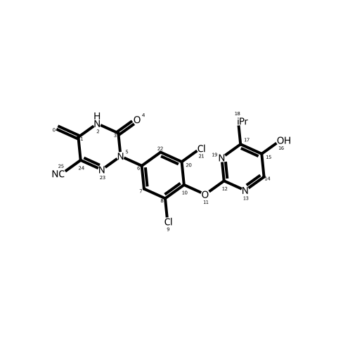 C=C1NC(=O)N(c2cc(Cl)c(Oc3ncc(O)c(C(C)C)n3)c(Cl)c2)N=C1C#N